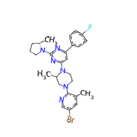 Cc1cc(Br)cnc1N1CCN(c2cc(-c3ccc(F)cc3)nc(N3CCCC3C)n2)C(C)C1